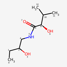 CCC(O)CNC(=O)[C@H](O)C(C)C